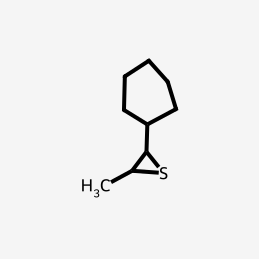 CC1SC1C1CCCCC1